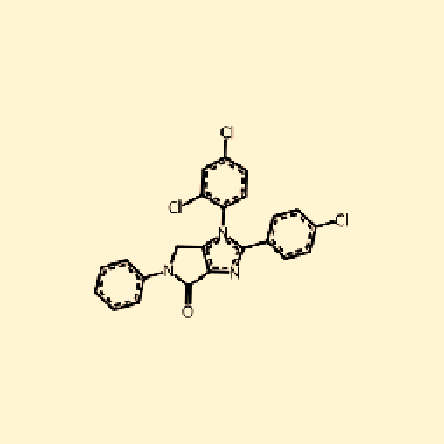 O=C1c2nc(-c3ccc(Cl)cc3)n(-c3ccc(Cl)cc3Cl)c2CN1c1ccccc1